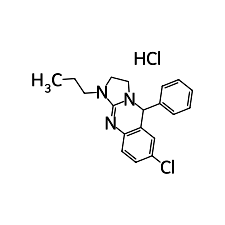 CCCN1CCN2C1=Nc1ccc(Cl)cc1C2c1ccccc1.Cl